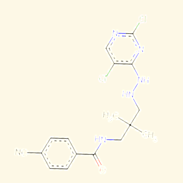 CC(C)(CNNc1nc(Cl)ncc1Cl)CNC(=O)c1ccc(C#N)cc1